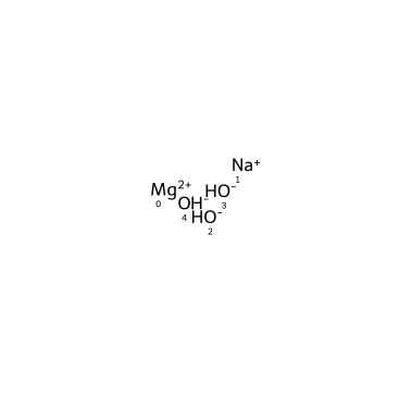 [Mg+2].[Na+].[OH-].[OH-].[OH-]